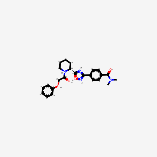 CN(C)C(=O)c1ccc(-c2noc([C@H]3CCCCN3C(=O)COc3ccccc3)n2)cc1